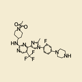 Cc1nc(-c2nc(NC3CCN(S(C)(=O)=O)CC3)ncc2C(F)(F)F)cn1-c1ccc(N2CCNCC2)cc1F